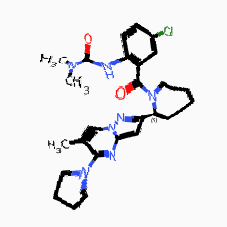 Cc1cn2nc([C@@H]3CCCCN3C(=O)c3cc(Cl)ccc3NC(=O)N(C)C)cc2nc1N1CCCC1